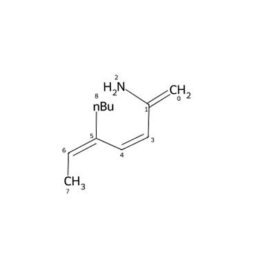 C=C(N)/C=C\C(=C/C)CCCC